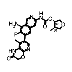 Cc1c(-c2cc3cc(NC(=O)O[C@@H]4COC[C@H]4C)ncc3c(N)c2F)cnc2c1NC(=O)CO2